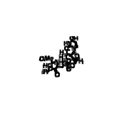 COC(O)N[C@@H](CO[P@@]1(=O)OC2[C@H]3O[C@@H](N4C=CC(O)NC4=O)C(C)(C)[C@]23O1)C(=O)OC(C)C